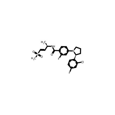 C[C@H](/C=C/S(C)(=O)=O)NC(=O)c1ccc(N2CCC[C@H]2c2ccc(F)cc2Cl)cc1F